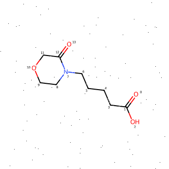 O=C(O)CCCCN1CCOCC1=O